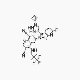 Cc1nc(F)ccc1[C@H](Nc1cc(C#N)c2ncc(C#N)c(NCC(C)(C)C(F)(F)F)c2c1)C1=CN(C23CC(C2)C3)NN1